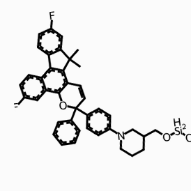 CO[SiH2]OCC1CCCN(c2ccc(C3(c4ccccc4)C=Cc4c5c(c6ccc(F)cc6c4O3)-c3ccc(F)cc3C5(C)C)cc2)C1